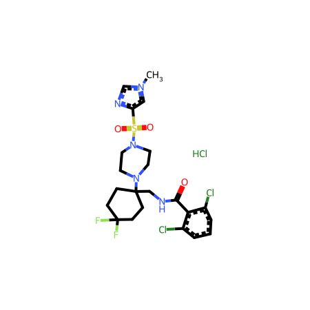 Cl.Cn1cnc(S(=O)(=O)N2CCN(C3(CNC(=O)c4c(Cl)cccc4Cl)CCC(F)(F)CC3)CC2)c1